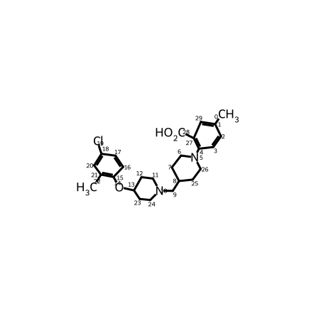 Cc1ccc(N2CCC(CN3CCC(Oc4ccc(Cl)cc4C)CC3)CC2)c(C(=O)O)c1